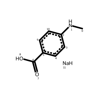 CNc1ccc(C(=O)O)cc1.[NaH]